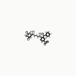 Cn1c(NCCCNc2ccc([N+](=O)[O-])cc2C(=O)c2ccccc2)cc(=O)n(C)c1=O